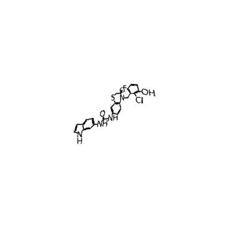 O=C(Nc1ccc2c(c1)SCC(=O)N2Cc1c(F)ccc(O)c1Cl)Nc1ccc2cc[nH]c2c1